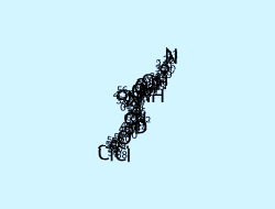 CCc1ccccc1CN1Cc2cc3c(cc2CC1C(=O)NC(Cc1ccc(-c2ccc(C#N)cc2)cc1)C(=O)O)N(C)C(=O)C(c1ccc(OCc2ccc(Cl)c(Cl)c2)cc1)O3